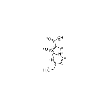 CCC1=NC2=S(=O)=C(C(=O)O)CN2C=C1